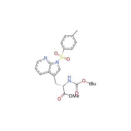 COC(=O)[C@H](Cc1cn(S(=O)(=O)c2ccc(C)cc2)c2ncccc12)NC(=O)OC(C)(C)C